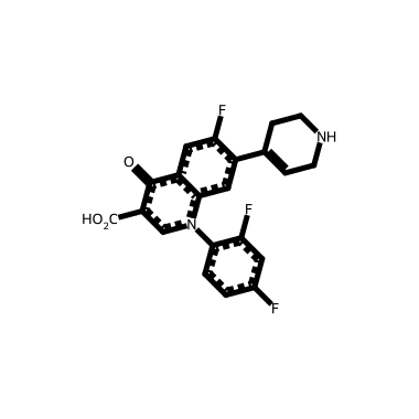 O=C(O)c1cn(-c2ccc(F)cc2F)c2cc(C3=CCNCC3)c(F)cc2c1=O